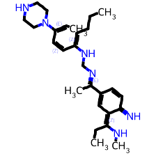 C\C=C(/C=C\C(=C\CCC)NC/N=C(\C)C1=C/C(=C(\CC)NC)C(=N)C=C1)N1CCNCC1